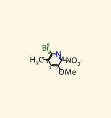 COc1cc(C)c(Br)nc1[N+](=O)[O-]